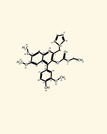 CCOC(=O)Oc1c(Cn2cncn2)nc2cc(OC)c(OC)cc2c1-c1ccc(O)c(OC)c1